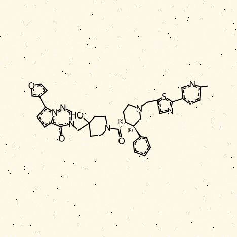 Cc1ccc(-c2ncc(CN3CC[C@@H](C(=O)N4CCC(O)(Cn5cnn6c(-c7ccoc7)ccc6c5=O)CC4)[C@H](c4ccccc4)C3)s2)cn1